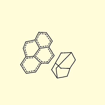 C1C2CC3CC1CC(C2)C3.c1cc2ccc3cccc4ccc(c1)c2c34